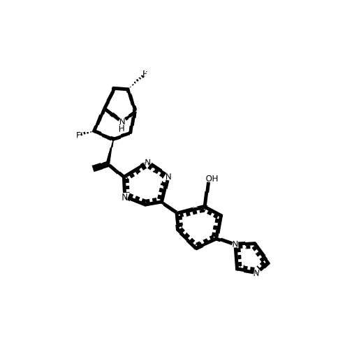 C=C(c1ncc(-c2ccc(-n3ccnc3)cc2O)nn1)[C@@H]1CC2NC(C[C@@H]2F)[C@H]1F